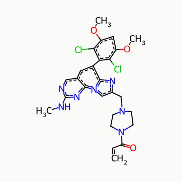 C=CC(=O)N1CCN(Cc2cn3c(n2)c(-c2c(Cl)c(OC)cc(OC)c2Cl)cc2cnc(NC)nc23)CC1